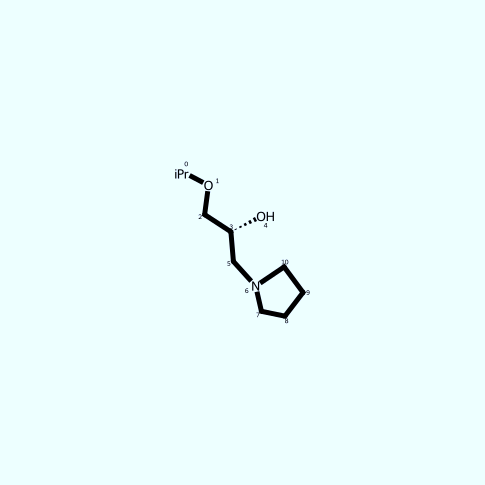 CC(C)OC[C@H](O)CN1CCCC1